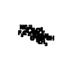 C[C@@]12C/C(=N\O)[C@]3(CCO[C@H]4[C@@H]3[C@@H]1C(=O)N4c1ccc(C#N)c(C(F)(F)F)c1)O2